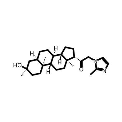 Cc1nccn1CC(=O)[C@H]1CC[C@H]2[C@@H]3CC[C@@H]4C[C@](C)(O)CC[C@]4(C)[C@H]3CC[C@]12C